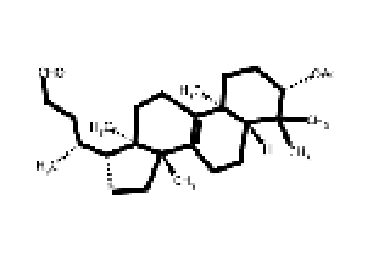 CC(=O)O[C@H]1CC[C@]2(C)C3=C(CC[C@H]2C1(C)C)[C@]1(C)CC[C@H]([C@H](C)CCC=O)[C@@]1(C)CC3